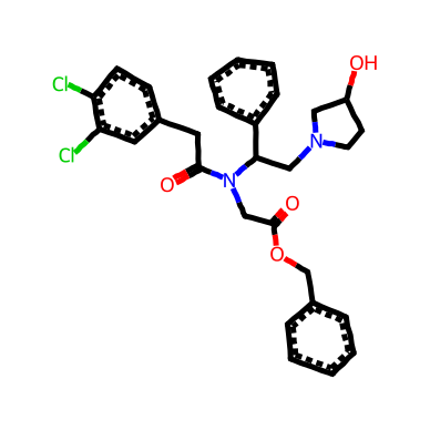 O=C(CN(C(=O)Cc1ccc(Cl)c(Cl)c1)C(CN1CCC(O)C1)c1ccccc1)OCc1ccccc1